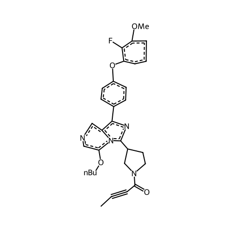 CC#CC(=O)N1CCC(c2nc(-c3ccc(Oc4cccc(OC)c4F)cc3)c3cncc(OCCCC)n23)C1